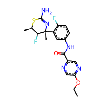 CCOc1cnc(C(=O)Nc2ccc(F)c([C@@]3(C)N=C(N)S[C@H](C)[C@@H]3F)c2)cn1